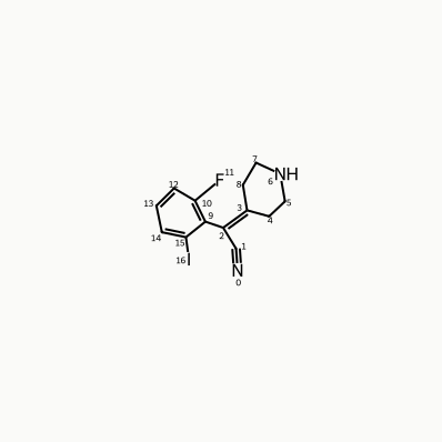 N#CC(=C1CCNCC1)c1c(F)cccc1I